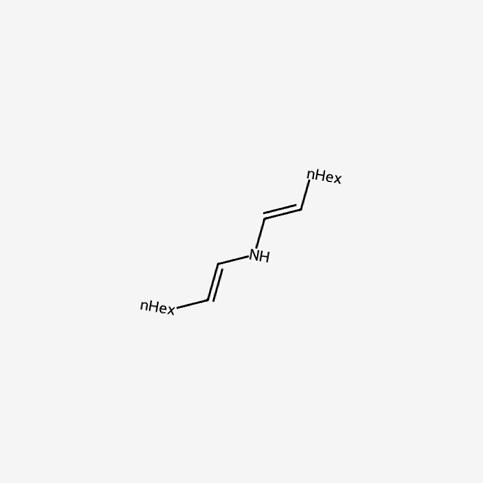 CCCCCC/C=C/N/C=C/CCCCCC